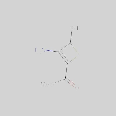 COC(=O)C1=C(N)C(C)S1